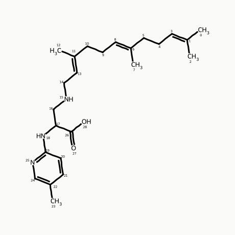 CC(C)=CCC/C(C)=C/CC/C(C)=C/CNCC(Nc1ccc(C)cn1)C(=O)O